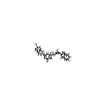 Cc1nc(NCc2nnc(C)s2)cc(OC[C@H]2C[C@@H]2c2cc3ncccn3n2)n1